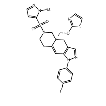 CCn1nccc1S(=O)(=O)N1CCC2=Cc3c(cnn3-c3ccc(F)cc3)C[C@]2(COc2nccs2)C1